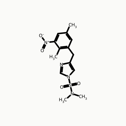 Cc1cc(Cc2cn(S(=O)(=O)N(C)C)cn2)c(C)c([N+](=O)[O-])c1